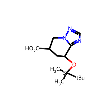 CC(C)(C)[Si](C)(C)OC1CC(C(=O)O)Cn2ncnc21